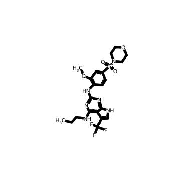 CCCNc1nc(Nc2ccc(S(=O)(=O)N3CCOCC3)cc2OC)nc2[nH]cc(C(F)(F)F)c12